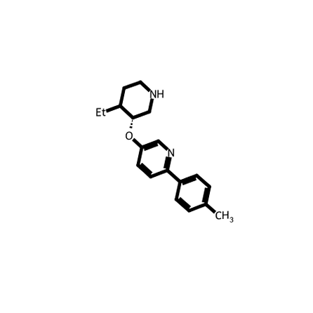 CCC1CCNC[C@@H]1Oc1ccc(-c2ccc(C)cc2)nc1